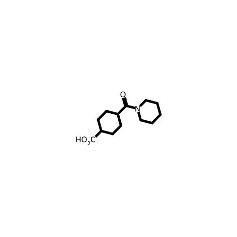 O=C(O)C1CCC(C(=O)N2CCCCC2)CC1